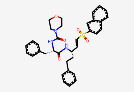 O=C(N[C@H](/C=C/S(=O)(=O)c1ccc2ccccc2c1)CCc1ccccc1)[C@H](Cc1ccccc1)NC(=O)N1CCOCC1